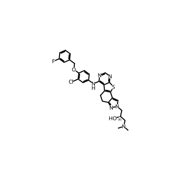 CN(C)C[C@@H](O)Cn1cc2c(n1)CCc1c-2sc2ncnc(Nc3ccc(OCc4cccc(F)c4)c(Cl)c3)c12